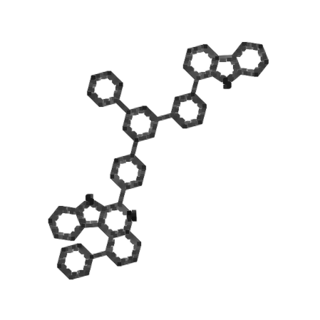 c1ccc(-c2cc(-c3ccc(-c4nc5cccc(-c6ccccc6)c5c5c4sc4ccccc45)cc3)cc(-c3cccc(-c4cccc5c4sc4ccccc45)c3)c2)cc1